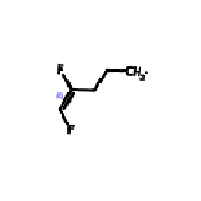 [CH2]CC/C(F)=C\F